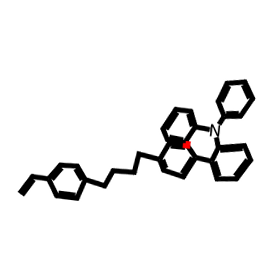 C=Cc1ccc(CCCCc2ccc(-c3ccccc3N(c3ccccc3)c3ccccc3)cc2)cc1